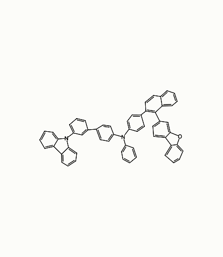 c1ccc(N(c2ccc(-c3cccc(-n4c5ccccc5c5ccccc54)c3)cc2)c2ccc(-c3ccc4ccccc4c3-c3ccc4c(c3)oc3ccccc34)cc2)cc1